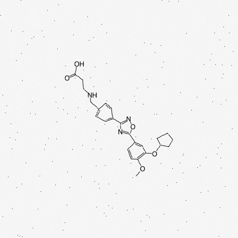 COc1ccc(-c2nc(-c3ccc(CNCCC(=O)O)cc3)no2)cc1OC1CCCC1